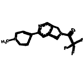 CN1CC=C(c2cc3c(cn2)CN(C(=O)C(F)(F)F)C3)CC1